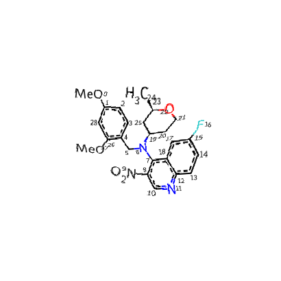 COc1ccc(CN(c2c([N+](=O)[O-])cnc3ccc(F)cc23)[C@@H]2CCO[C@H](C)C2)c(OC)c1